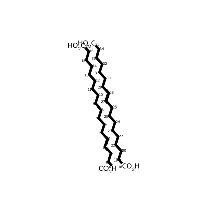 O=C(O)CCCCCCCCCCCCCCCCC(=O)O.O=C(O)CCCCCCCCCCCCCCCCC(=O)O